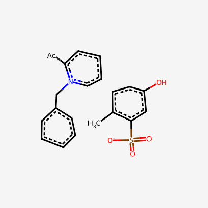 CC(=O)c1cccc[n+]1Cc1ccccc1.Cc1ccc(O)cc1S(=O)(=O)[O-]